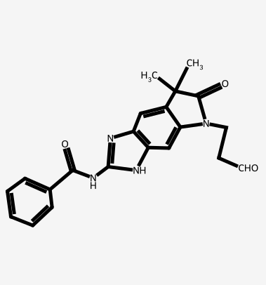 CC1(C)C(=O)N(CCC=O)c2cc3[nH]c(NC(=O)c4ccccc4)nc3cc21